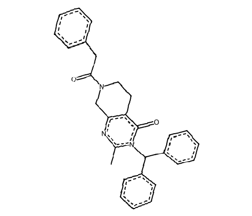 Cc1nc2c(c(=O)n1C(c1ccccc1)c1ccccc1)CCN(C(=O)Cc1ccccc1)C2